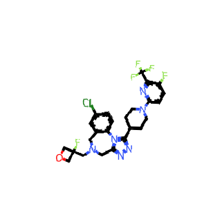 Fc1ccc(N2CCC(c3nnc4n3-c3ccc(Cl)cc3CN(CC3(F)COC3)C4)CC2)nc1C(F)(F)F